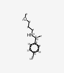 COCCCN[C@@H](C)c1ccc(F)cc1